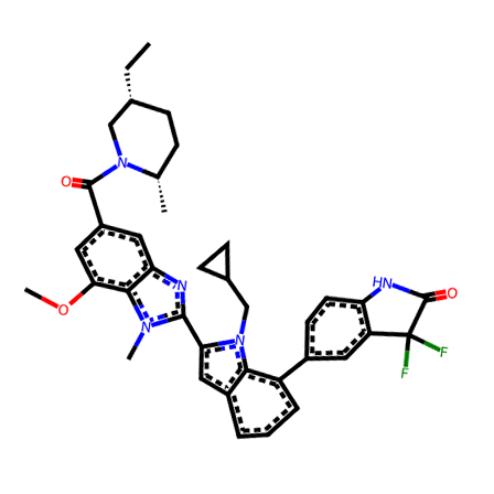 CC[C@@H]1CC[C@H](C)N(C(=O)c2cc(OC)c3c(c2)nc(-c2cc4cccc(-c5ccc6c(c5)C(F)(F)C(=O)N6)c4n2CC2CC2)n3C)C1